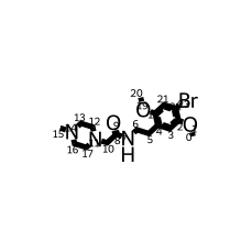 COc1cc(CCNC(=O)CN2CCN(C)CC2)c(OC)cc1Br